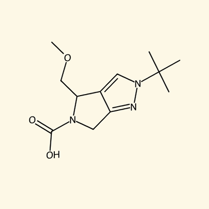 COCC1c2cn(C(C)(C)C)nc2CN1C(=O)O